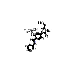 CCn1c(CO)nn(-c2cc(O[C@@H](C)C(F)(F)F)c(/C(F)=C/c3cccnc3)cc2F)c1=O